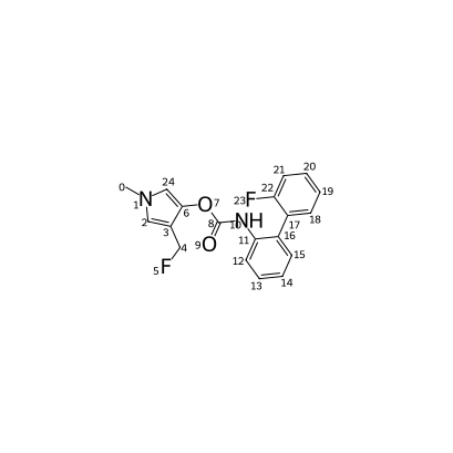 Cn1cc(CF)c(OC(=O)Nc2ccccc2-c2ccccc2F)c1